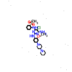 CCOc1cc(N2CCC(N3CCCCC3)CC2)ccc1Nc1nc(N)c(Cl)c(Nc2ccccc2S(C)(=O)=O)n1